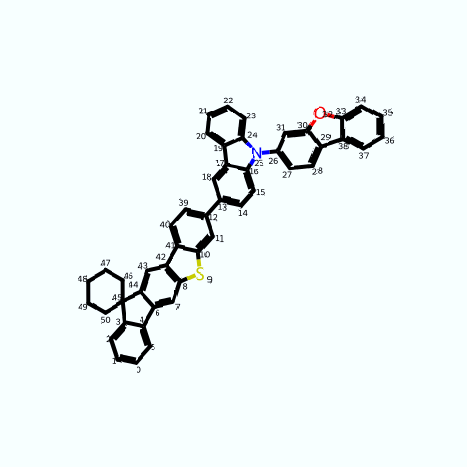 c1ccc2c(c1)-c1cc3sc4cc(-c5ccc6c(c5)c5ccccc5n6-c5ccc6c(c5)oc5ccccc56)ccc4c3cc1C21CCCCC1